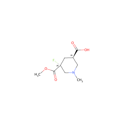 COC(=O)[C@@]1(F)C[C@@H](C(=O)O)CN(C)C1